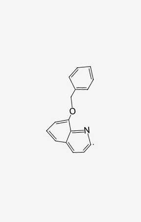 [c]1ccc2cccc(OCc3ccccc3)c2n1